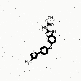 COC(=O)Nc1nc2cc(Sc3ccc(-c4cc(C)cs4)cc3)ccc2[nH]1